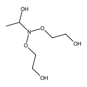 CC(O)N(OCCO)OCCO